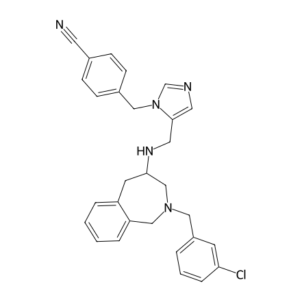 N#Cc1ccc(Cn2cncc2CNC2Cc3ccccc3CN(Cc3cccc(Cl)c3)C2)cc1